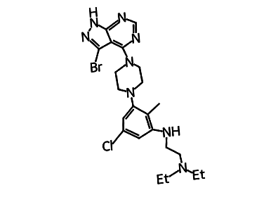 CCN(CC)CCNc1cc(Cl)cc(N2CCN(c3ncnc4[nH]nc(Br)c34)CC2)c1C